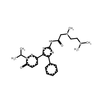 CC(C)n1nc(-c2sc(NC(=O)CN(C)CCN(C)C)nc2-c2ccccc2)ccc1=O